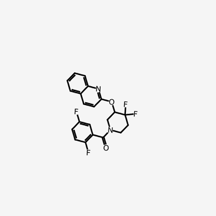 O=C(c1cc(F)ccc1F)N1CCC(F)(F)C(Oc2ccc3ccccc3n2)C1